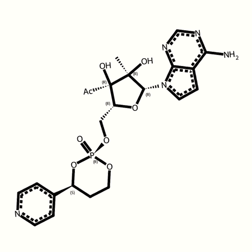 CC(=O)[C@@]1(O)[C@@H](CO[P@@]2(=O)OCC[C@@H](c3ccncc3)O2)O[C@@H](n2ccc3c(N)ncnc32)[C@]1(C)O